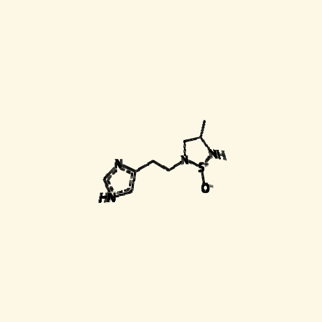 CC1CN(CCc2c[nH]cn2)[S+]([O-])N1